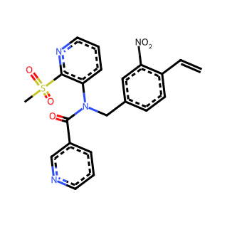 C=Cc1ccc(CN(C(=O)c2cccnc2)c2cccnc2S(C)(=O)=O)cc1[N+](=O)[O-]